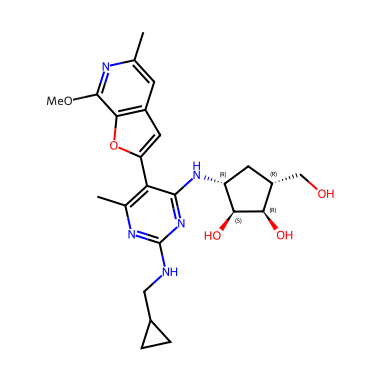 COc1nc(C)cc2cc(-c3c(C)nc(NCC4CC4)nc3N[C@@H]3C[C@H](CO)[C@@H](O)[C@H]3O)oc12